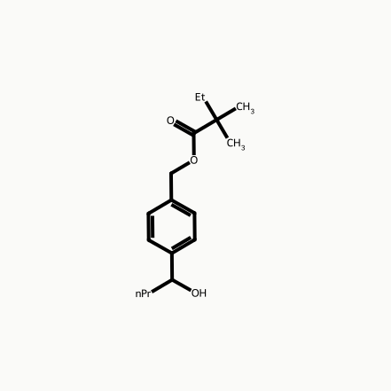 CCCC(O)c1ccc(COC(=O)C(C)(C)CC)cc1